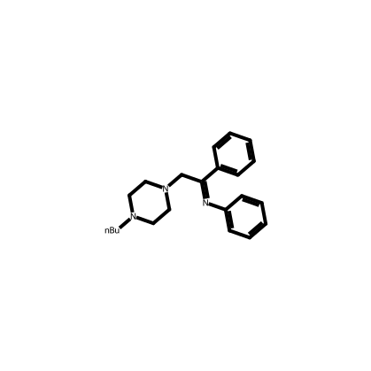 CCCCN1CCN(CC(=Nc2ccccc2)c2ccccc2)CC1